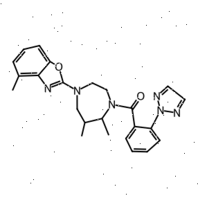 Cc1cccc2oc(N3CCN(C(=O)c4ccccc4-n4nccn4)C(C)C(C)C3)nc12